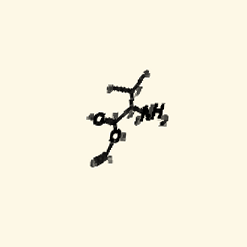 C#COC(=O)C(N)C(C)C